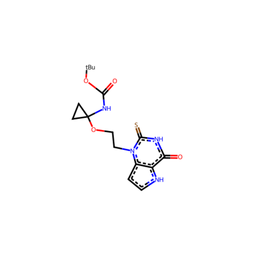 CC(C)(C)OC(=O)NC1(OCCn2c(=S)[nH]c(=O)c3[nH]ccc32)CC1